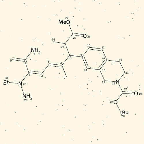 C=C(N)/C(=C\C=C(/C)C(c1ccc2c(c1)CN(C(=O)OC(C)(C)C)CC2)C(C)C(=O)OC)N(N)CC